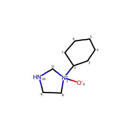 [O-][N+]1(C2CCCCC2)CCNC1